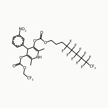 CC1=C(OC(=O)OCCCC(F)(F)C(F)(F)C(F)(F)C(F)(F)C(F)(F)C(F)(F)F)C(c2cccc([N+](=O)[O-])c2)C(OC(=O)OCC(F)(F)F)=C(C)N1